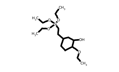 CCOC1CCC(CC[Si](OCC)(OCC)OCC)CC1O